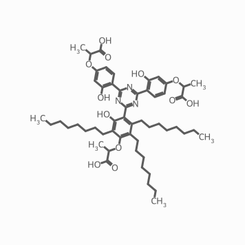 CCCCCCCCc1c(O)c(-c2nc(-c3ccc(OC(C)C(=O)O)cc3O)nc(-c3ccc(OC(C)C(=O)O)cc3O)n2)c(CCCCCCCC)c(CCCCCCCC)c1OC(C)C(=O)O